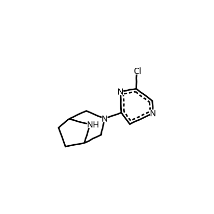 Clc1cncc(N2CC3CCC(C2)N3)n1